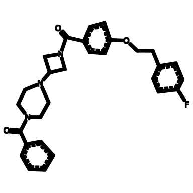 O=C(c1ccccc1)N1CCN(C2CN(C(=O)c3ccc(OCCc4ccc(F)cc4)cc3)C2)CC1